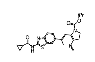 C=NC1=C(/C=C(\C)c2ccc3nc(NC(=O)C4CC4)sc3c2)N(C(=O)OC(C)C)CC1